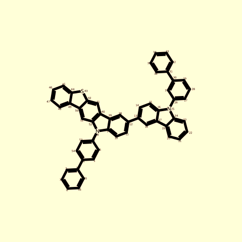 c1ccc(-c2ccc(-n3c4ccc(-c5ccc6c(c5)c5ccccc5n6-c5cccc(-c6ccccc6)c5)cc4c4cc5sc6ccccc6c5cc43)cc2)cc1